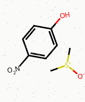 C[S+](C)[O-].O=[N+]([O-])c1ccc(O)cc1